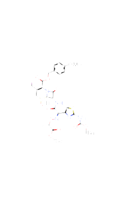 COc1ccc(COC(=O)C2=C(CI)C[S+]([O-])[C@@H]3[C@H](NC(=O)/C(=N\O[C@@H](C)C(=O)OC(C)(C)C)c4csc(NC(=O)OC(C)(C)C)n4)C(=O)N23)cc1